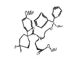 COc1ccc(C2(C(=O)N(CCO[Si](c3ccccc3)(c3ccccc3)C(C)(C)C)CC(=O)OC(C)(C)C)CCC(F)(F)CC2)cc1